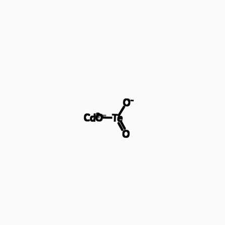 O=[Te]([O-])[O-].[Cd+2]